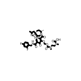 CC1=NO[C@@]2(CC[C@H](C)N3C[C@H]2n2cc(C(=O)NCc4ccc(F)cc4F)c(=O)c(OCOC(=O)N(C)CCN(C)C(=O)O)c2C3=O)C1